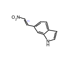 O=[N+]([O-])/C=C/c1ccc2cc[nH]c2c1